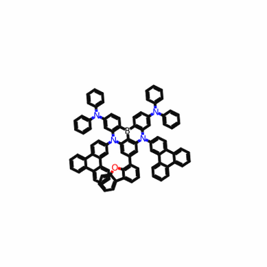 c1ccc(N(c2ccccc2)c2ccc3c(c2)N(c2ccc4c5ccccc5c5ccccc5c4c2)c2cc(-c4cccc5c4oc4ccccc45)cc4c2B3c2ccc(N(c3ccccc3)c3ccccc3)cc2N4c2ccc3c4ccccc4c4ccccc4c3c2)cc1